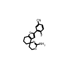 N#Cc1ccc(F)c(-c2cc3c(s2)CCCC32CCSC(N)=N2)c1